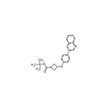 CC(C)(C)OC(=O)N1CC(Oc2ccc(-c3cnc4ccccc4c3)cc2)C1